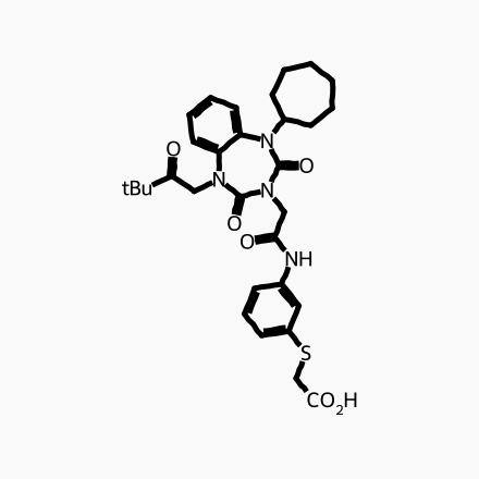 CC(C)(C)C(=O)CN1C(=O)N(CC(=O)Nc2cccc(SCC(=O)O)c2)C(=O)N(C2CCCCCC2)c2ccccc21